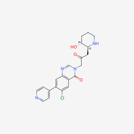 O=C(C[C@@H]1NCCC[C@H]1O)Cn1cnc2cc(-c3ccncc3)c(Cl)cc2c1=O